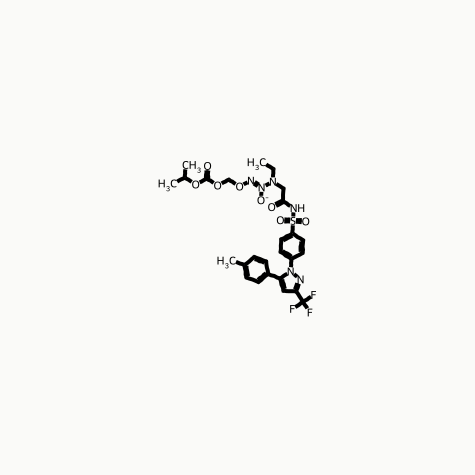 CCN(CC(=O)NS(=O)(=O)c1ccc(-n2nc(C(F)(F)F)cc2-c2ccc(C)cc2)cc1)[N+]([O-])=NOCOC(=O)OC(C)C